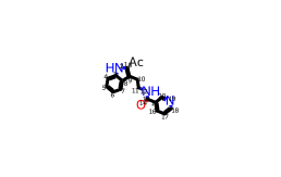 CC(=O)c1[nH]c2ccccc2c1CCNC(=O)c1cccnc1